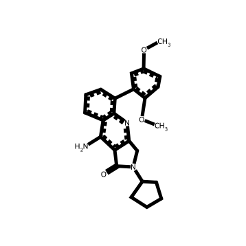 COc1ccc(OC)c(-c2cccc3c(N)c4c(nc23)CN(C2CCCC2)C4=O)c1